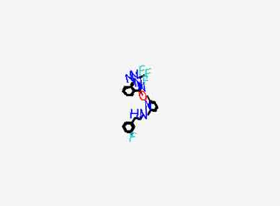 Fc1cccc(CCNCc2cccc(COc3nn4c(C(F)(F)F)nnc4c4ccccc34)n2)c1